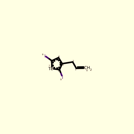 C=CCc1cc(I)[te]c1I